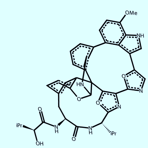 COc1ccc2c3c(c[nH]c13)-c1cnc(o1)-c1nc3oc1C14c5cc(ccc5OC1Nc1c-2cccc14)C[C@H](NC(=O)[C@@H](O)C(C)C)C(=O)N[C@H]3C(C)C